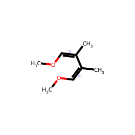 CO/[C]=C(C)\C(C)=[C]/OC